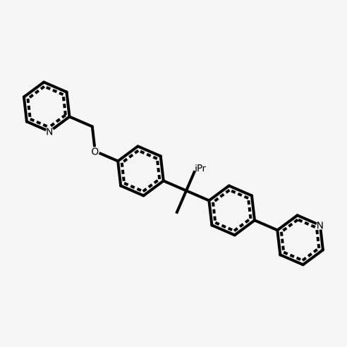 CC(C)C(C)(c1ccc(OCc2ccccn2)cc1)c1ccc(-c2cccnc2)cc1